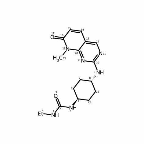 CCNC(=O)N[C@H]1CC[C@H](Nc2ncc3ccc(=O)n(C)c3n2)CC1